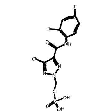 O=C(Nc1ccc(F)cc1Cl)c1nn(COP(=O)(O)O)nc1Cl